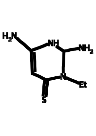 CCN1C(=S)C=C(N)NC1N